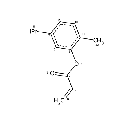 C=CC(=O)Oc1cc(C(C)C)ccc1C